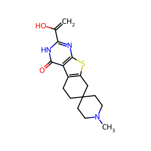 C=C(O)c1nc2sc3c(c2c(=O)[nH]1)CCC1(CCN(C)CC1)C3